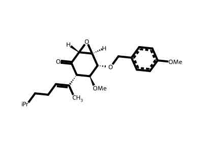 COc1ccc(CO[C@@H]2[C@@H](OC)[C@H](/C(C)=C/CCC(C)C)C(=O)[C@@H]3O[C@@H]23)cc1